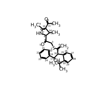 C=C(SCC(=O)C1NC(C)=C(C(C)=O)C1C)C(C(=C)c1ccccc1)c1ccccc1C(C)C